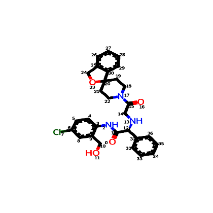 O=C(Nc1ccc(Cl)cc1CO)[C@@H](NCC(=O)N1CCC2(CC1)OCc1ccccc12)c1ccccc1